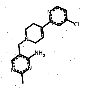 Cc1ncc(CN2CC=C(c3cc(Cl)ccn3)CC2)c(N)n1